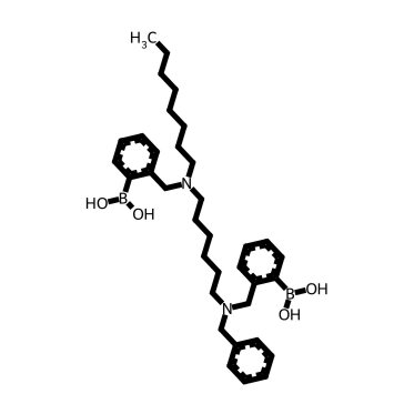 CCCCCCCCN(CCCCCCN(Cc1ccccc1)Cc1ccccc1B(O)O)Cc1ccccc1B(O)O